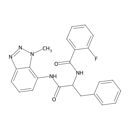 Cn1nnc2cccc(NC(=O)C(Cc3ccccc3)NC(=O)c3ccccc3F)c21